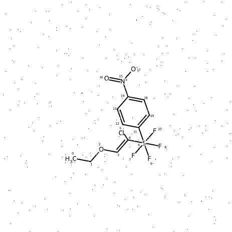 CCOC=C(Cl)S(F)(F)(F)(F)c1ccc([N+](=O)[O-])cc1